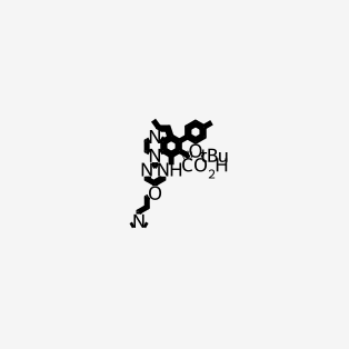 Cc1ccc(-c2c([C@H](OC(C)(C)C)C(=O)O)c(C)c3c4c2cc(C)n4CCN3C2N=CC(OCCCN(C)C)=CN2)cc1